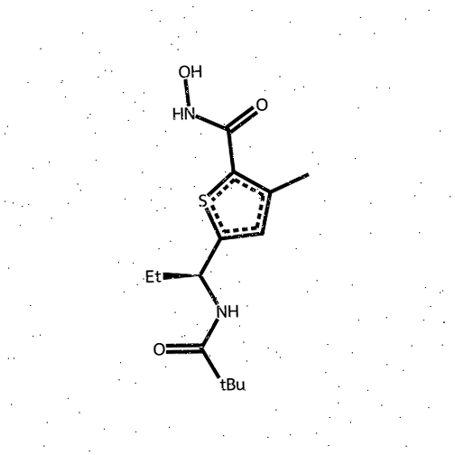 CC[C@H](NC(=O)C(C)(C)C)c1cc(C)c(C(=O)NO)s1